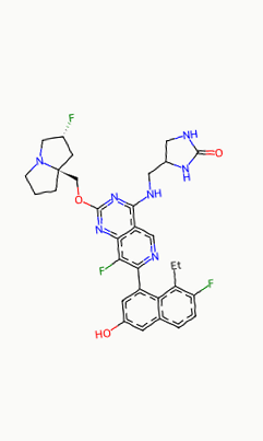 CCc1c(F)ccc2cc(O)cc(-c3ncc4c(NCC5CNC(=O)N5)nc(OC[C@@]56CCCN5C[C@H](F)C6)nc4c3F)c12